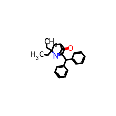 CCC1(CC)CC2CCN1C(C(c1ccccc1)c1ccccc1)C2=O